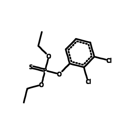 CCOP(=S)(OCC)Oc1cccc(Cl)c1Cl